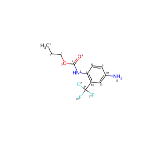 CCCOC(=O)Nc1ccc(N)cc1C(F)(F)F